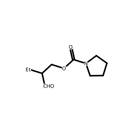 CCC(C=O)COC(=O)N1CCCC1